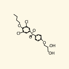 CCCCOc1c(Cl)cc(S(=O)(=O)c2ccc(OC[C@H](O)CO)cc2)cc1Cl